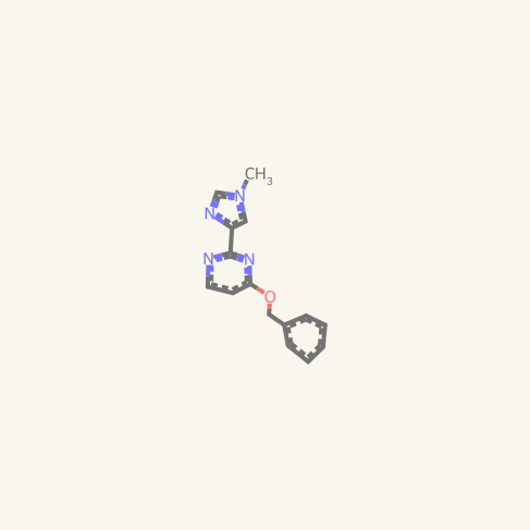 Cn1cnc(-c2nccc(OCc3ccccc3)n2)c1